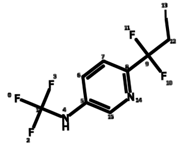 FC(F)(F)Nc1ccc(C(F)(F)CI)nc1